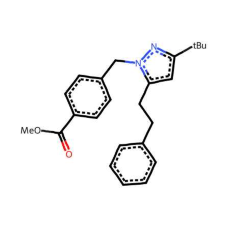 COC(=O)c1ccc(Cn2nc(C(C)(C)C)cc2CCc2ccccc2)cc1